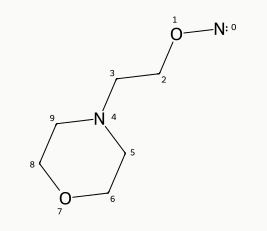 [N]OCCN1CCOCC1